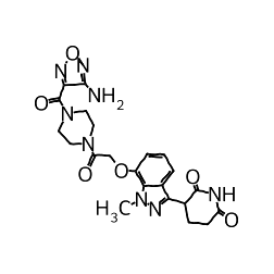 Cn1nc(C2CCC(=O)NC2=O)c2cccc(OCC(=O)N3CCN(C(=O)c4nonc4N)CC3)c21